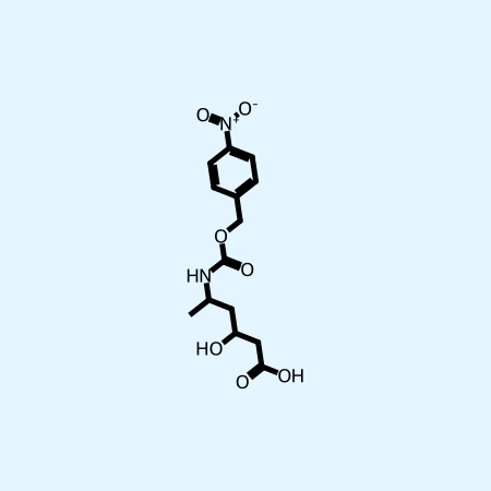 CC(CC(O)CC(=O)O)NC(=O)OCc1ccc([N+](=O)[O-])cc1